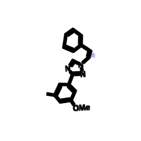 COc1cc(C)cc(-c2ncn(/C=C\c3ccccc3)n2)c1